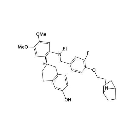 CCN(Cc1ccc(OCCN2C3CCC2CC3)c(F)c1)c1cc(OC)c(OC)cc1[C@@H]1CCc2cc(O)ccc2C1